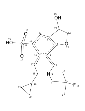 CC(C)(F)CN1C=c2c3c(cc(S(=O)(=O)O)c2=CC1C1CC1)C(O)CO3